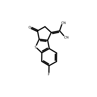 N#CC(C#N)=C1CC(=O)c2sc3cc(F)ccc3c21